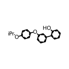 CC(C)Oc1ccc(Oc2cccc(-c3ccccc3O)c2)cc1